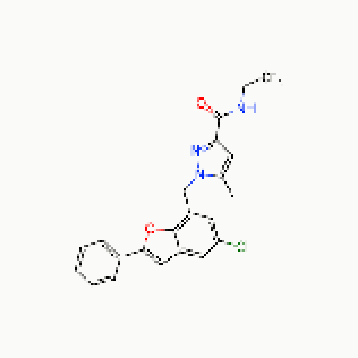 Cc1cc(C(=O)NCC(F)(F)F)nn1Cc1cc(Cl)cc2cc(-c3ccccc3)oc12